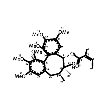 C/C=C(/C)C(=O)O[C@H]1c2cc(OC)c(OC)c(OC)c2-c2c(cc(OC)c(OC)c2OC)C[C@H](C)[C@]1(C)O